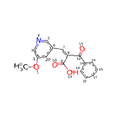 COc1cncc(C=C(C(=O)O)C(=O)c2ccccc2)c1